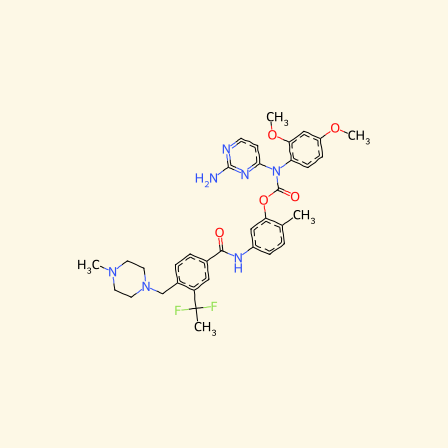 COc1ccc(N(C(=O)Oc2cc(NC(=O)c3ccc(CN4CCN(C)CC4)c(C(C)(F)F)c3)ccc2C)c2ccnc(N)n2)c(OC)c1